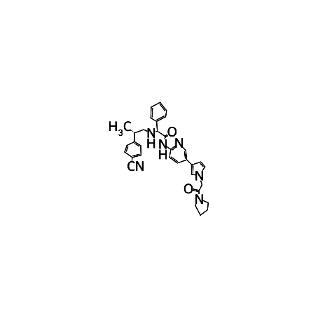 C[C@H](CN[C@@H](C(=O)Nc1ccc(-c2ccn(CC(=O)N3CCCC3)c2)cn1)c1ccccc1)c1ccc(C#N)cc1